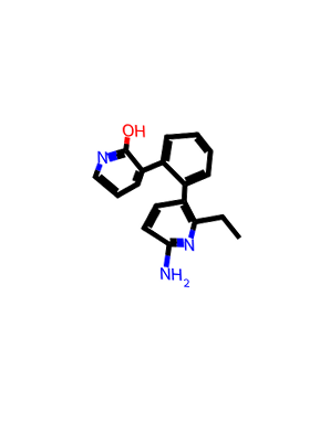 CCc1nc(N)ccc1-c1ccccc1-c1cccnc1O